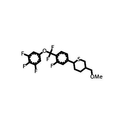 COCC1CCC(c2ccc(C(F)(F)Oc3cc(F)c(F)c(F)c3)c(F)c2)SC1